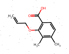 C=CCOc1c(C(=O)O)ccc(C)c1C